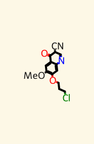 COc1cc2c(cc1OCCCCl)N=CC(C#N)C2=O